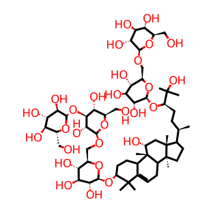 C[C@H](CC[C@@H](O[C@@H]1O[C@H](CO[C@@H]2O[C@H](CO)[C@@H](O)[C@H](O)[C@H]2O)[C@@H](O)[C@H](O)[C@H]1O)C(C)(C)O)C1CC[C@@]2(C)C3CC=C4C(CC[C@H](O[C@@H]5O[C@H](CO[C@@H]6O[C@H](CO)[C@@H](O)[C@H](O[C@@H]7O[C@H](CO)[C@@H](O)[C@H](O)[C@H]7O)[C@H]6O)[C@@H](O)[C@H](O)[C@H]5O)C4(C)C)[C@]3(C)[C@H](O)C[C@]12C